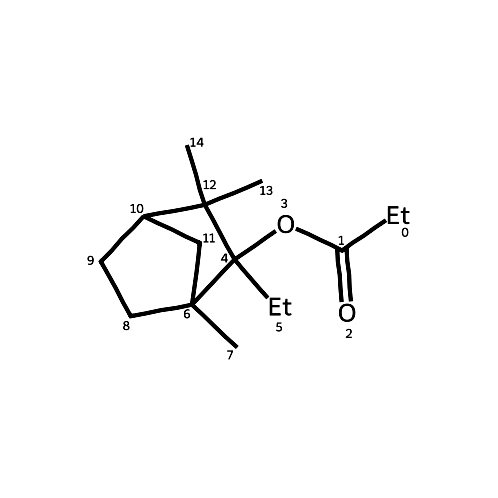 CCC(=O)OC1(CC)C2(C)CCC(C2)C1(C)C